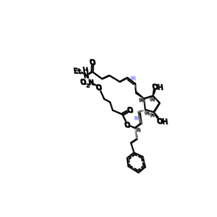 CCNC(=O)CCC/C=C\C[C@@H]1[C@@H](/C=C/[C@H](CCc2ccccc2)OC(=O)CCCO[N+](=O)[O-])[C@H](O)C[C@@H]1O